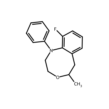 CC1Cc2cccc(F)c2N(c2ccccc2)CCO1